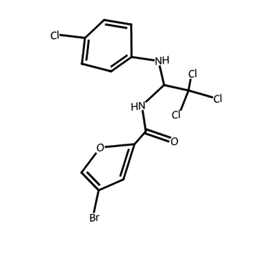 O=C(NC(Nc1ccc(Cl)cc1)C(Cl)(Cl)Cl)c1cc(Br)co1